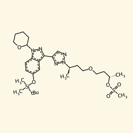 C[C@H](CCOCC[C@H](C)OS(C)(=O)=O)n1ncc(-c2nn(C3CCCCO3)c3ccc(O[Si](C)(C)C(C)(C)C)cc23)n1